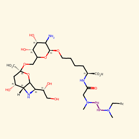 CC(=O)CN(C)PPN(C)CC(=O)N[C@@H](CCCCO[C@H]1OC(CO[C@]2(C(=O)O)C[C@@H](O)[C@H]3N[C@H]([C@H](O)CO)C3O2)[C@H](O)[C@H](O)C1N)C(=O)O